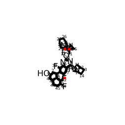 Oc1cc(-c2c(F)cc3c(N4CC5CCC(C4)N5)nc(OCC4(CN5C6CCC5CC(F)(F)C6)CC4)nc3c2F)c2c(F)c(F)ccc2c1